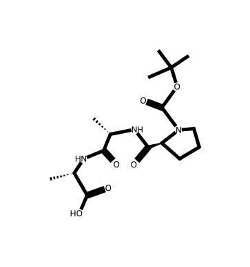 C[C@H](NC(=O)[C@H](C)NC(=O)[C@@H]1CCCN1C(=O)OC(C)(C)C)C(=O)O